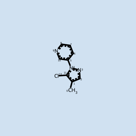 Cc1cnn(-c2cccnc2)c1Cl